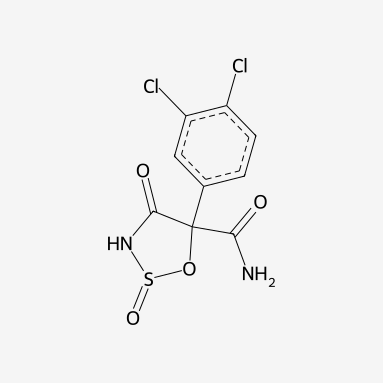 NC(=O)C1(c2ccc(Cl)c(Cl)c2)OS(=O)NC1=O